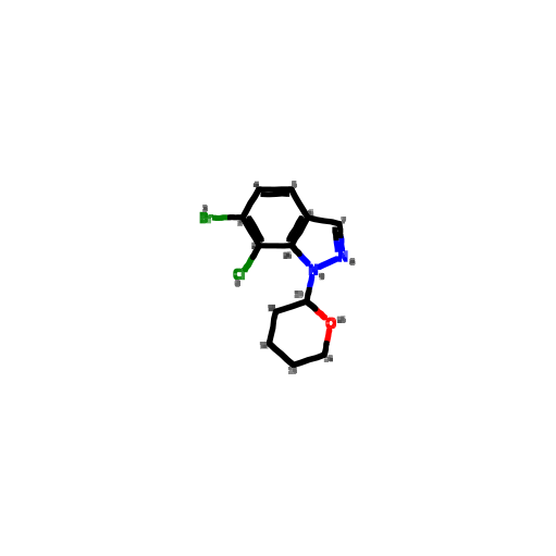 Clc1c(Br)ccc2cnn(C3CCCCO3)c12